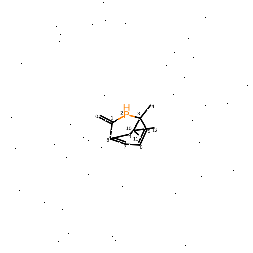 C=C1PC2(C)C=CC=C1CC2(C)C